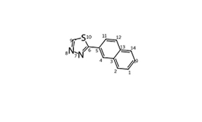 [c]1ccc2cc(-c3nn[c]s3)ccc2c1